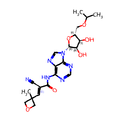 CC(C)OC[C@H]1O[C@@H](n2cnc3c(NC(=O)/C(C#N)=C/C4(C)COC4)ncnc32)[C@H](O)[C@@H]1O